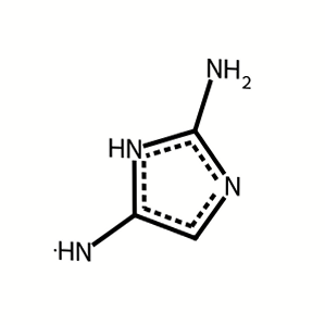 [NH]c1cnc(N)[nH]1